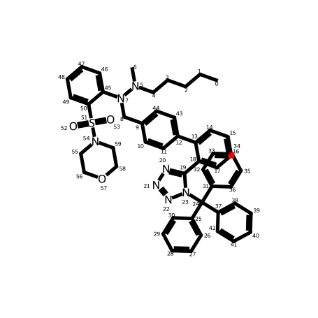 CCCCCN(C)N(Cc1ccc(-c2ccccc2-c2nnnn2C(c2ccccc2)(c2ccccc2)c2ccccc2)cc1)c1ccccc1S(=O)(=O)N1CCOCC1